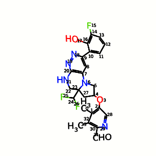 Cc1c(OC2CN3c4cc(-c5cccc(F)c5O)nnc4NCC3(C(F)F)C2)cnc(C=O)c1C